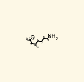 CC(=O)C[C@@H](C)CCCCN